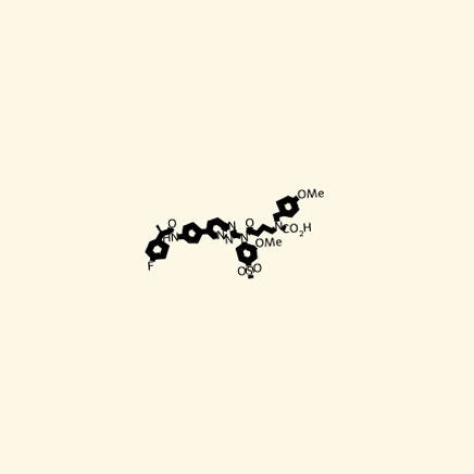 COc1ccc(CN(CCCC(=O)N(c2nc3ccc(-c4ccc(NC(=O)[C@H](C)c5ccc(F)cc5)cc4)cn3n2)c2ccc(S(C)(=O)=O)cc2OC)C(=O)O)cc1